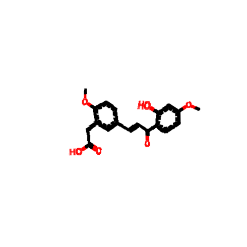 COc1ccc(C(=O)/C=C/c2ccc(OC)c(CC(=O)O)c2)c(O)c1